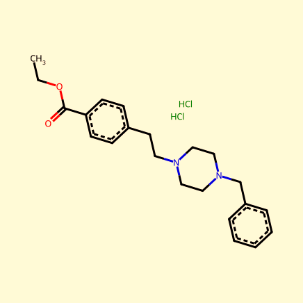 CCOC(=O)c1ccc(CCN2CCN(Cc3ccccc3)CC2)cc1.Cl.Cl